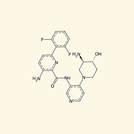 Nc1ccc(-c2c(F)cccc2F)nc1C(=O)Nc1cnccc1N1CC[C@@H](O)[C@H](N)C1